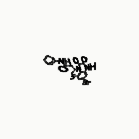 O=C(CC1CSc2cc(Br)cc3[nH]c(=O)c(=O)n1c23)NC1CC2CCC1C2